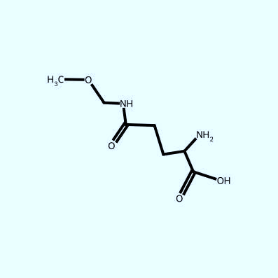 COCNC(=O)CCC(N)C(=O)O